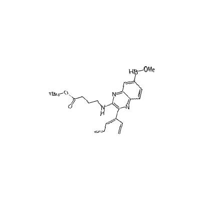 C=C/C=C(\C=C)c1nc2ccc(BOC)cc2nc1NCCCC(=O)OC(C)(C)C